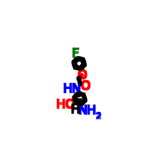 NC12CCC(NC(=O)COc3ccc(F)cc3)(CC1)C[C@@H]2O